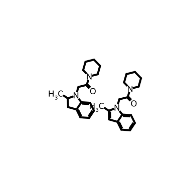 CC1Cc2ccccc2N1CC(=O)N1CCCCC1.Cc1cc2ccccc2n1CC(=O)N1CCCCC1